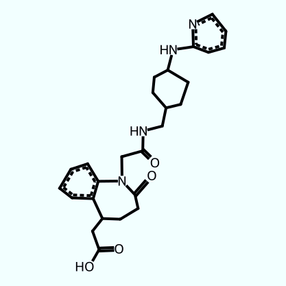 O=C(O)CC1CCC(=O)N(CC(=O)NCC2CCC(Nc3ccccn3)CC2)c2ccccc21